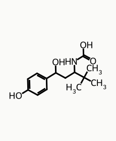 CC(C)(C)C(CC(O)c1ccc(O)cc1)NC(=O)O